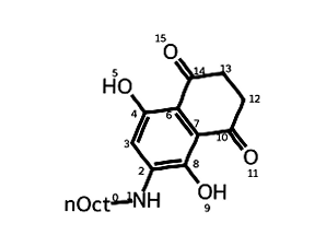 CCCCCCCCNc1cc(O)c2c(c1O)C(=O)CCC2=O